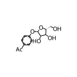 CC(=O)c1ccc(O[C@H]2O[C@H](CO)[C@@H](O)[C@H]2O)cc1